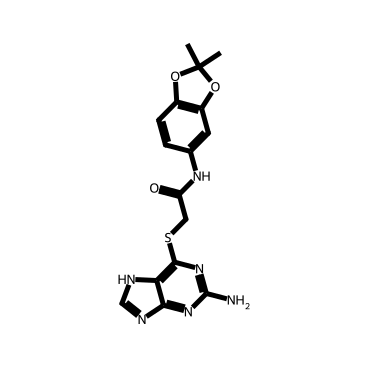 CC1(C)Oc2ccc(NC(=O)CSc3nc(N)nc4nc[nH]c34)cc2O1